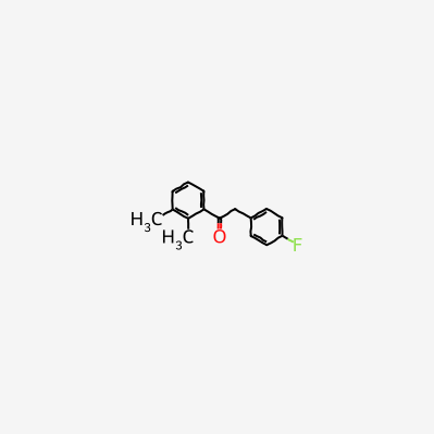 Cc1cccc(C(=O)Cc2ccc(F)cc2)c1C